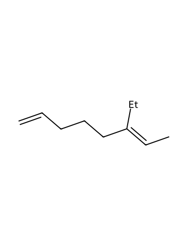 C=CCCC/C(=C/C)CC